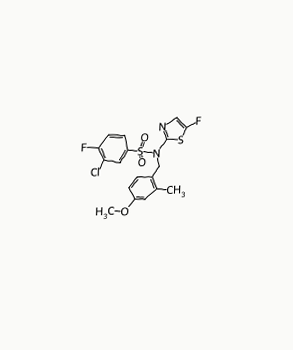 COc1ccc(CN(c2ncc(F)s2)S(=O)(=O)c2ccc(F)c(Cl)c2)c(C)c1